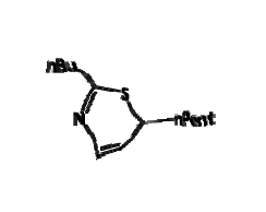 CCCCCC1C=CN=C(CCCC)S1